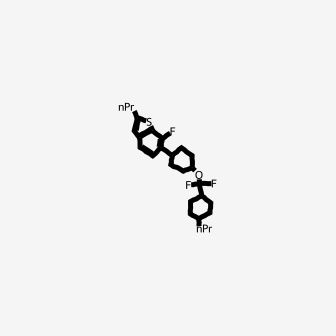 CCCc1cc2ccc(C3CCC(OC(F)(F)C4CCC(CCC)CC4)CC3)c(F)c2s1